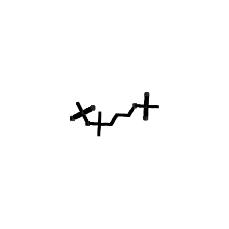 CC(C)(CCCOS(C)(=O)=O)OS(C)(=O)=O